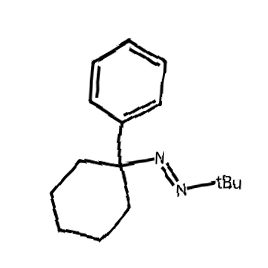 CC(C)(C)N=NC1(c2ccccc2)CCCCC1